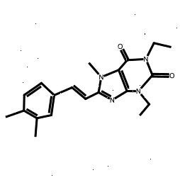 CCn1c(=O)c2c(nc(/C=C/c3ccc(C)c(C)c3)n2C)n(CC)c1=O